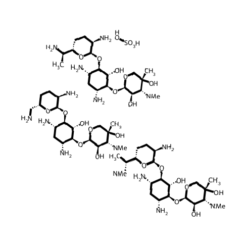 CN[C@@H]1[C@@H](O)[C@@H](O[C@@H]2[C@@H](O)[C@H](O[C@H]3O[C@H](CN)CC[C@H]3N)[C@@H](N)C[C@H]2N)OC[C@]1(C)O.CN[C@@H]1[C@@H](O)[C@@H](O[C@@H]2[C@@H](O)[C@H](O[C@H]3O[C@H]([C@@H](C)N)CC[C@H]3N)[C@@H](N)C[C@H]2N)OC[C@]1(C)O.CN[C@@H]1[C@@H](O)[C@@H](O[C@@H]2[C@@H](O)[C@H](O[C@H]3O[C@H]([C@@H](C)NC)CC[C@H]3N)[C@@H](N)C[C@H]2N)OC[C@]1(C)O.O=S(=O)(O)O